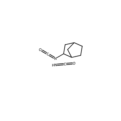 N=C=O.O=C=NC1CC2CCC1C2